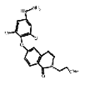 COCCN1CCc2cc(Oc3c(Cl)cc(NN)cc3Cl)ccc2C1=O